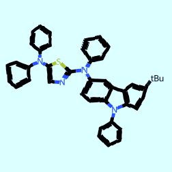 CC(C)(C)c1ccc2c(c1)c1cc(N(c3ccccc3)c3ncc(N(c4ccccc4)c4ccccc4)s3)ccc1n2-c1ccccc1